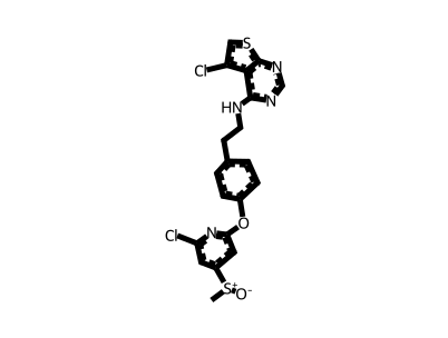 C[S+]([O-])c1cc(Cl)nc(Oc2ccc(CCNc3ncnc4scc(Cl)c34)cc2)c1